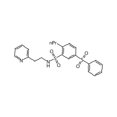 CCCc1ccc(S(=O)(=O)c2ccccc2)cc1S(=O)(=O)NCCc1ccccn1